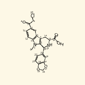 Cn1c2c(c3cc(C(=O)CCl)ccc31)CC(C(=O)O)NC2c1ccc2c(c1)OCO2